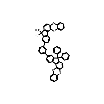 CC1(C)c2cc(-c3cccc(-c4ccc5c(c4)C(c4ccccc4)(c4ccccc4)c4ccc6c(c4-5)Oc4ccccc4S6)c3)ccc2-c2c1ccc1c2Oc2ccccc2S1